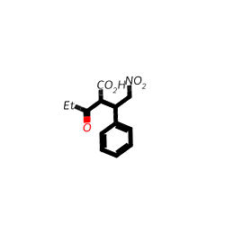 CCC(=O)C(C(=O)O)C(C[N+](=O)[O-])c1ccccc1